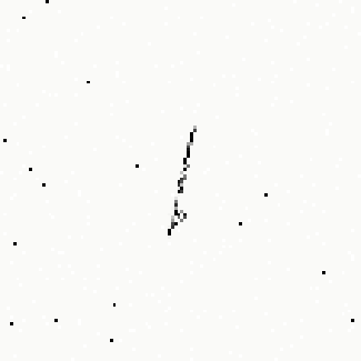 CCCCCCCCCCCCCCCC(=O)OC(=O)CC